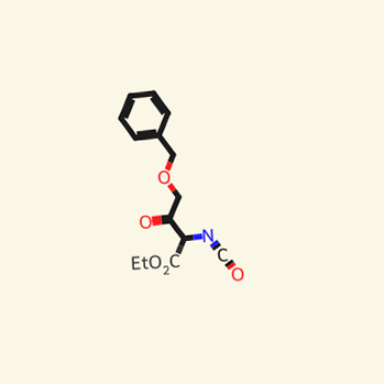 CCOC(=O)C(N=C=O)C(=O)COCc1ccccc1